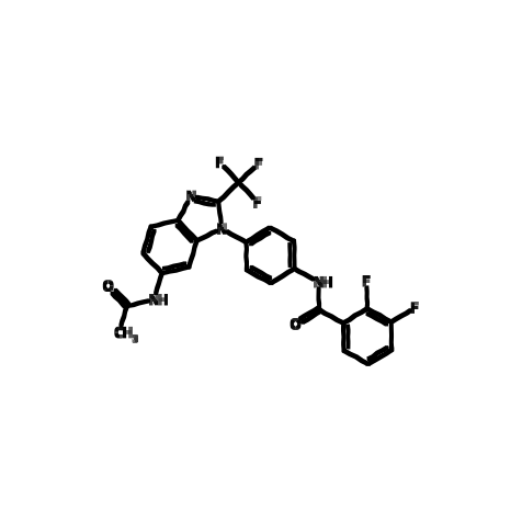 CC(=O)Nc1ccc2nc(C(F)(F)F)n(-c3ccc(NC(=O)c4cccc(F)c4F)cc3)c2c1